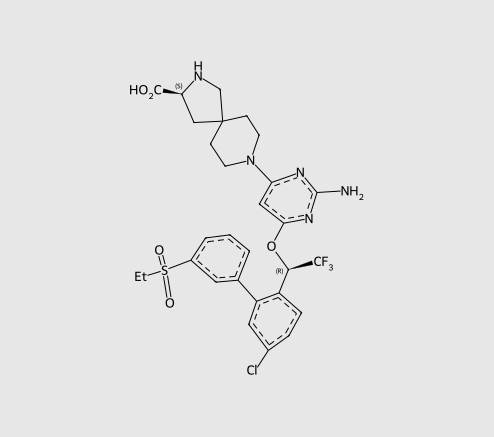 CCS(=O)(=O)c1cccc(-c2cc(Cl)ccc2[C@@H](Oc2cc(N3CCC4(CC3)CN[C@H](C(=O)O)C4)nc(N)n2)C(F)(F)F)c1